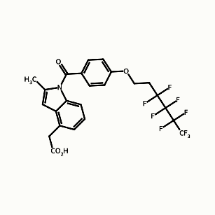 Cc1cc2c(CC(=O)O)cccc2n1C(=O)c1ccc(OCCC(F)(F)C(F)(F)C(F)(F)C(F)(F)F)cc1